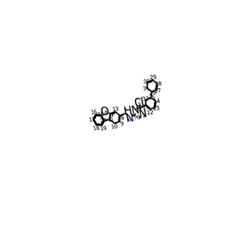 C=NC(Cl)(N/C=N\CC1=CCC2C(=C1)Oc1ccccc12)C1=CC=CC(C2C=CC=CC2)C1